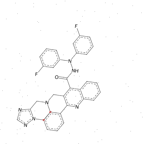 O=C(NN(c1cccc(F)c1)c1cccc(F)c1)c1c(CN2CCn3ncnc3C2)c(-c2ccccc2)nc2ccccc12